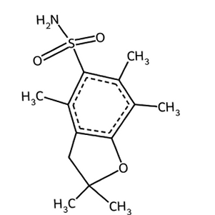 Cc1c(C)c(S(N)(=O)=O)c(C)c2c1OC(C)(C)C2